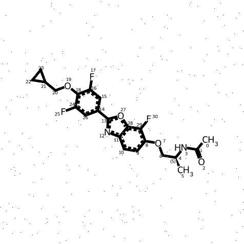 CC(=O)N[C@@H](C)COc1ccc2nc(-c3cc(F)c(OCC4CC4)c(F)c3)oc2c1F